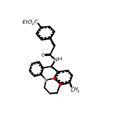 CCOC(=O)c1ccc(CC(=O)NC(c2ccc(C)cc2)c2ccccc2N2CCCCC2)cc1